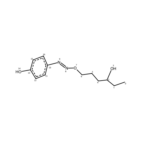 CCC(O)CCCON=Nc1ccc(O)cc1